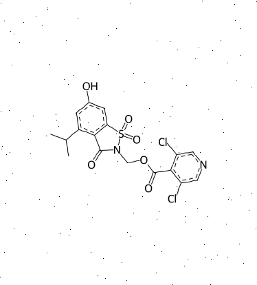 CC(C)c1cc(O)cc2c1C(=O)N(COC(=O)c1c(Cl)cncc1Cl)S2(=O)=O